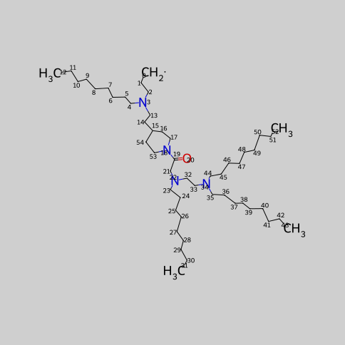 [CH2]CCN(CCCCCCCCC)CCC1CCN(C(=O)CN(CCCCCCCCC)CCN(CCCCCCCCC)CCCCCCCCC)CC1